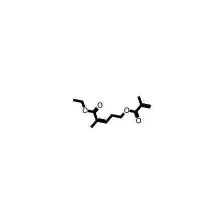 C=C(C)C(=O)OCCC=C(C)C(=O)OCC